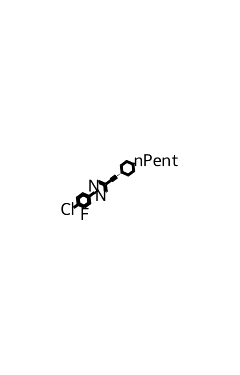 CCCCC[C@H]1CC[C@H](C#Cc2cnc(-c3ccc(Cl)c(F)c3)nc2)CC1